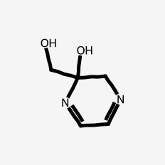 OCC1(O)CN=CC=N1